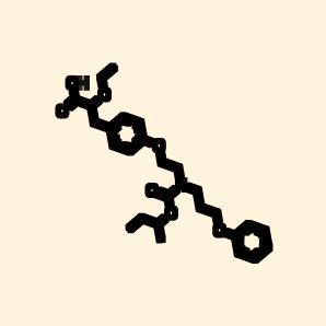 CCOC(Cc1ccc(OCCN(CCCOc2ccccc2)C(=O)OC(C)CC)cc1)C(=O)O